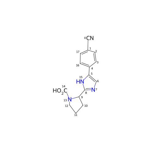 N#Cc1ccc(-c2cnc(C3CCCN3C(=O)O)[nH]2)cc1